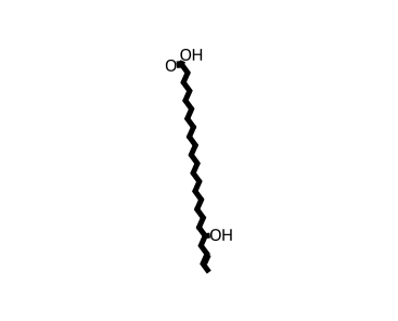 CC=CCC(O)CCCCCCCCCCCCCCCCCCC(=O)O